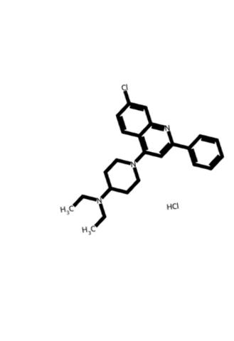 CCN(CC)C1CCN(c2cc(-c3ccccc3)nc3cc(Cl)ccc23)CC1.Cl